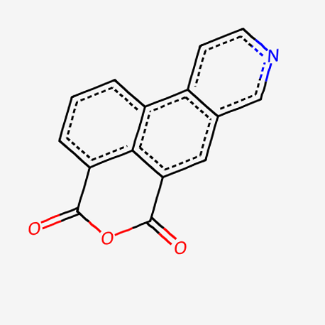 O=C1OC(=O)c2cc3cnccc3c3cccc1c23